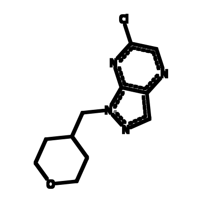 Clc1cnc2cnn(CC3CCOCC3)c2n1